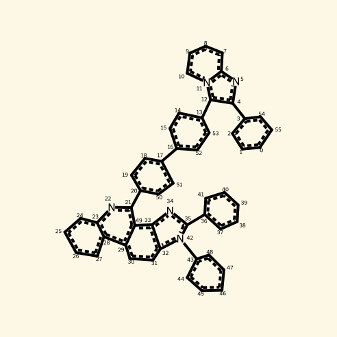 c1ccc(-c2nc3ccccn3c2-c2ccc(-c3ccc(-c4nc5ccccc5c5ccc6c(nc(-c7ccccc7)n6-c6ccccc6)c45)cc3)cc2)cc1